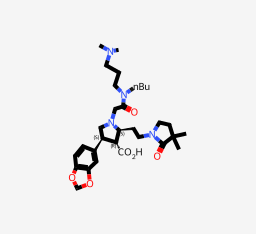 CCCCN(CCCN(C)C)C(=O)CN1C[C@H](c2ccc3c(c2)OCO3)[C@@H](C(=O)O)[C@@H]1CCN1CCC(C)(C)C1=O